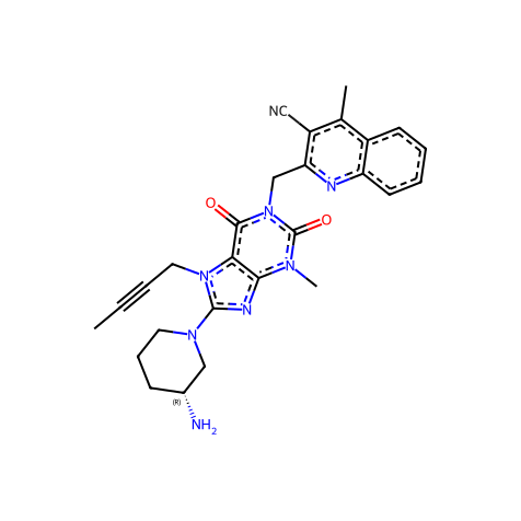 CC#CCn1c(N2CCC[C@@H](N)C2)nc2c1c(=O)n(Cc1nc3ccccc3c(C)c1C#N)c(=O)n2C